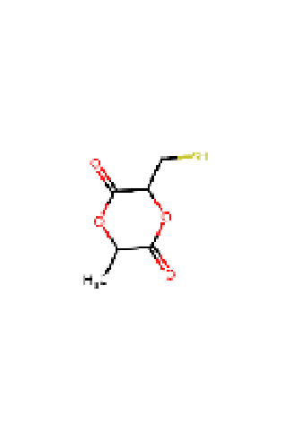 CC1OC(=O)C(CS)OC1=O